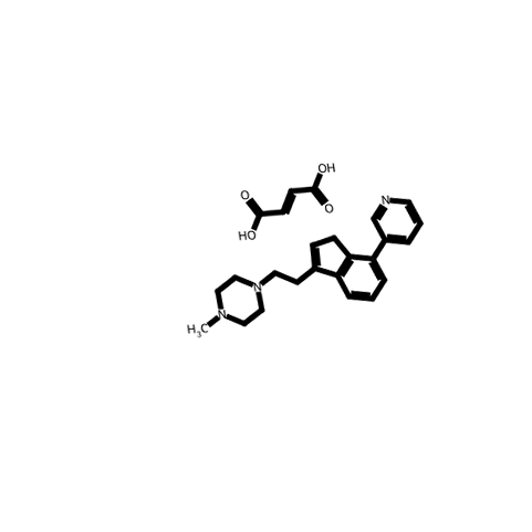 CN1CCN(CCC2=CCc3c2cccc3-c2cccnc2)CC1.O=C(O)C=CC(=O)O